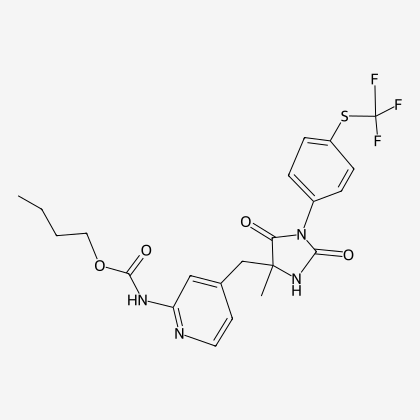 CCCCOC(=O)Nc1cc(CC2(C)NC(=O)N(c3ccc(SC(F)(F)F)cc3)C2=O)ccn1